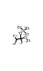 CCOC(F)(O[Si](CC)(CC)CC)C(F)F